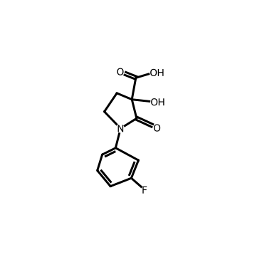 O=C(O)C1(O)CCN(c2cccc(F)c2)C1=O